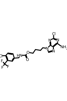 Nc1nc(Cl)nc2c1ncn2CCCCOC(=O)NCc1ccc(Cl)c(C(F)(F)F)c1